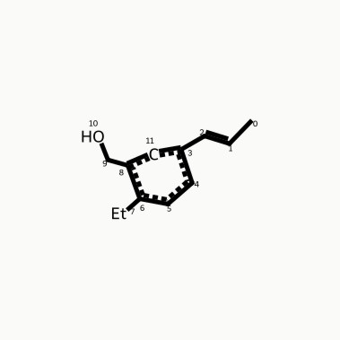 C/C=C/c1ccc(CC)c(CO)c1